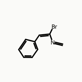 C=N/C(Br)=C\c1ccccc1